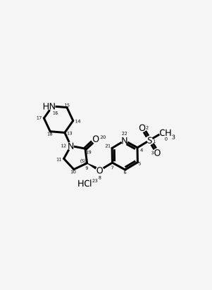 CS(=O)(=O)c1ccc(O[C@H]2CCN(C3CCNCC3)C2=O)cn1.Cl